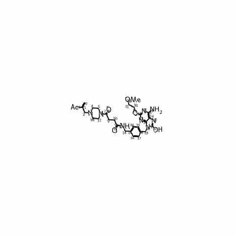 C=C(CN1CCN(C(=O)CCC(=O)NCc2ccc(Cn3c(O)nc4c(N)nc(OCCOC)nc43)cc2)CC1)C(C)=O